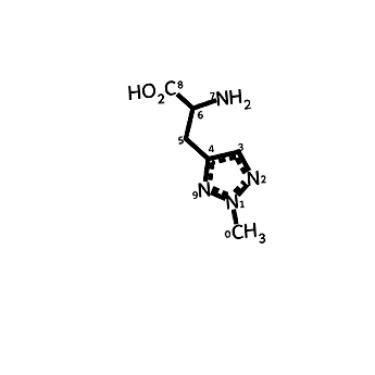 Cn1ncc(CC(N)C(=O)O)n1